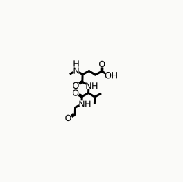 CNC(CCC(=O)O)C(=O)NC(C(=O)NCC=O)C(C)C